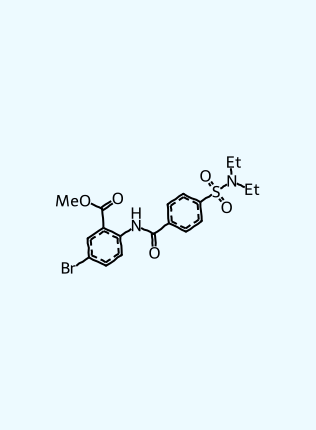 CCN(CC)S(=O)(=O)c1ccc(C(=O)Nc2ccc(Br)cc2C(=O)OC)cc1